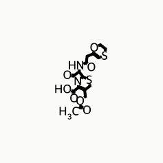 CC(=O)OCC1=C(C(=O)O)N2C(=O)C(NC(=O)CC3=CSCCO3)C2SC1